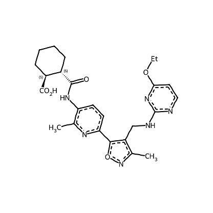 CCOc1ccnc(NCc2c(C)noc2-c2ccc(NC(=O)[C@H]3CCCC[C@@H]3C(=O)O)c(C)n2)n1